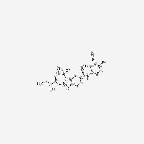 CCC(O)[C@H]1CN(C)C(=O)c2c3c(nn2C1)CCN(C(=O)Nc1ccc(F)c(C#N)c1F)C3